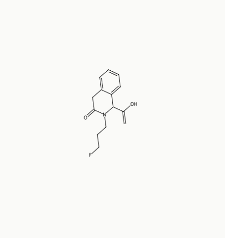 C=C(O)C1c2ccccc2CC(=O)N1CCCF